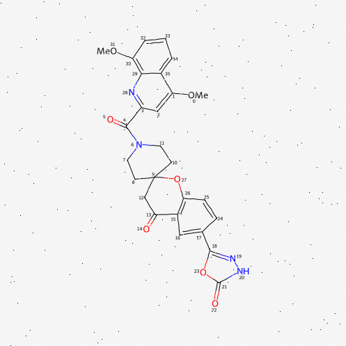 COc1cc(C(=O)N2CCC3(CC2)CC(=O)c2cc(-c4n[nH]c(=O)o4)ccc2O3)nc2c(OC)cccc12